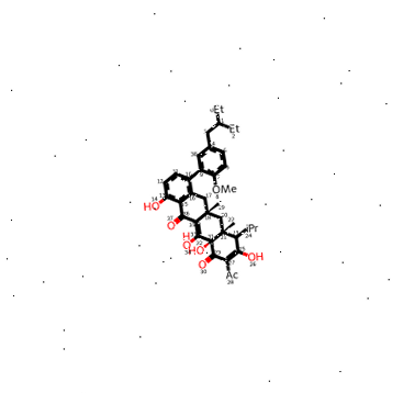 CCC(CC)Cc1ccc(OC)c(-c2ccc(O)c3c2C[C@]2(C)C[C@]4(C)C(C(C)C)C(O)=C(C(C)=O)C(=O)[C@]4(O)C(O)=C2C3=O)c1